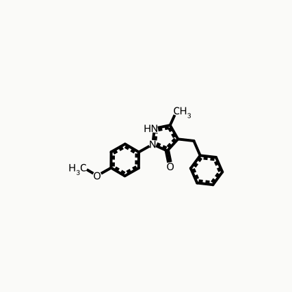 COc1ccc(-n2[nH]c(C)c(Cc3ccccc3)c2=O)cc1